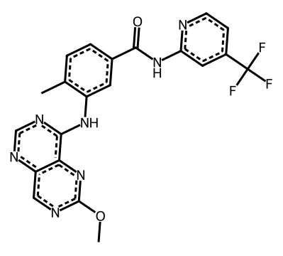 COc1ncc2ncnc(Nc3cc(C(=O)Nc4cc(C(F)(F)F)ccn4)ccc3C)c2n1